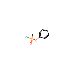 CP(=O)(Cl)Oc1ccccc1